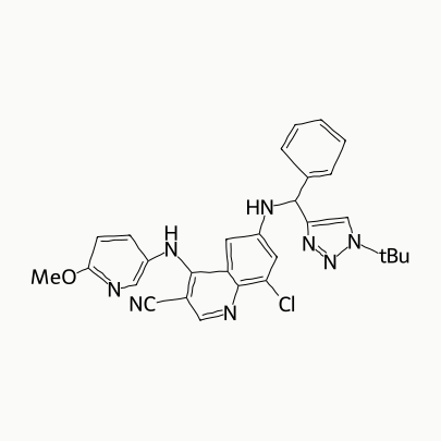 COc1ccc(Nc2c(C#N)cnc3c(Cl)cc(NC(c4ccccc4)c4cn(C(C)(C)C)nn4)cc23)cn1